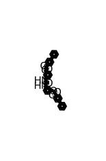 O=C(Nc1cccc(OS(=O)(=O)c2ccc(-c3ccccc3)cc2)c1)Nc1cccc(OS(=O)(=O)c2ccc(-c3ccccc3)cc2)c1